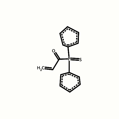 C=CC(=O)P(=S)(c1ccccc1)c1ccccc1